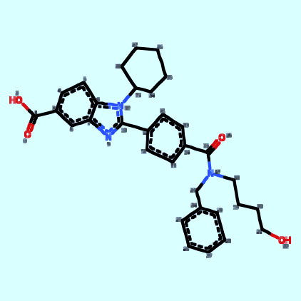 O=C(O)c1ccc2c(c1)nc(-c1ccc(C(=O)N(CCCCO)Cc3ccccc3)cc1)n2C1CCCCC1